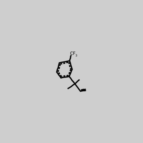 C=CC(C)(C)c1cccc(C(F)(F)F)c1